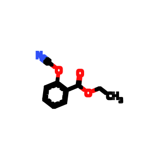 CCOC(=O)c1ccccc1OC#N